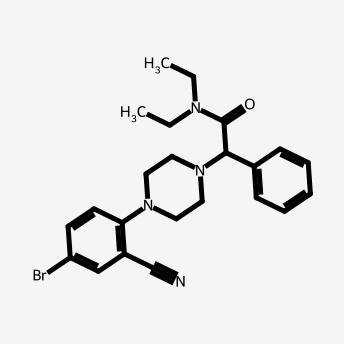 CCN(CC)C(=O)C(c1ccccc1)N1CCN(c2ccc(Br)cc2C#N)CC1